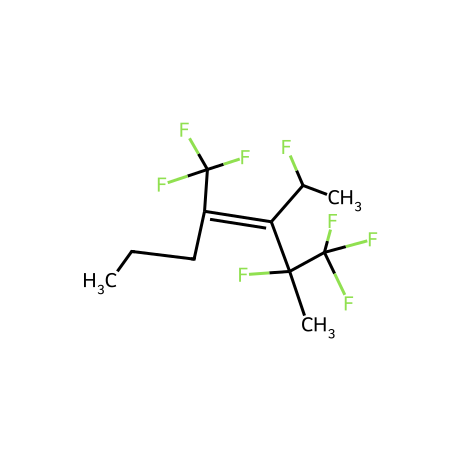 CCCC(=C(C(C)F)C(C)(F)C(F)(F)F)C(F)(F)F